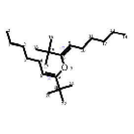 CCCCC/C=C(\O/C(=C\CCCCC)C(C)(C)C)C(C)(C)C